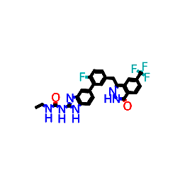 CCNC(=O)Nc1nc2cc(-c3cc(Cc4n[nH]c(=O)c5ccc(C(F)(F)F)cc45)ccc3F)ccc2[nH]1